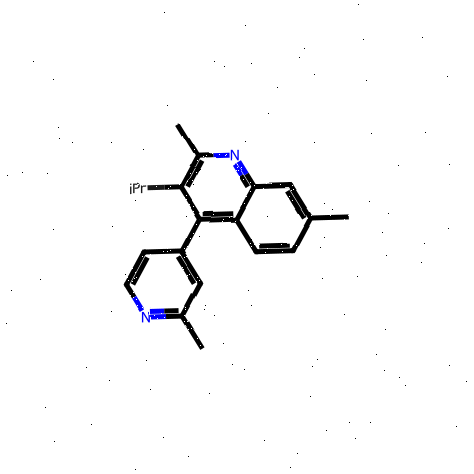 Cc1ccc2c(-c3ccnc(C)c3)c(C(C)C)c(C)nc2c1